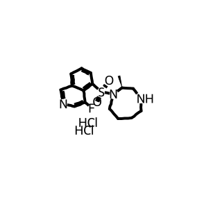 C[C@H]1CNCCCCN1S(=O)(=O)c1cccc2cncc(F)c12.Cl.Cl